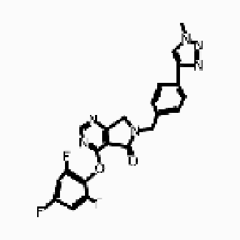 Cn1cc(-c2ccc(CN3Cc4ncnc(Oc5c(F)cc(F)cc5F)c4C3=O)cc2)nn1